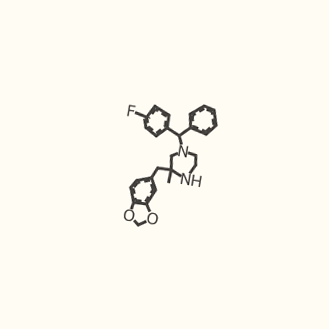 CC1(Cc2ccc3c(c2)OCO3)CN(C(c2ccccc2)c2ccc(F)cc2)CCN1